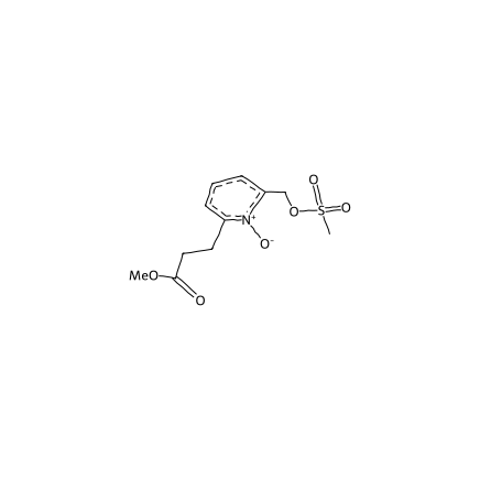 COC(=O)CCc1cccc(COS(C)(=O)=O)[n+]1[O-]